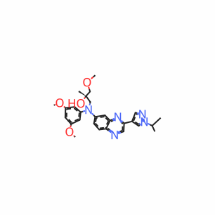 COC[C@@](C)(O)CN(c1cc(OC)cc(OC)c1)c1ccc2ncc(-c3cnn(C(C)C)c3)nc2c1